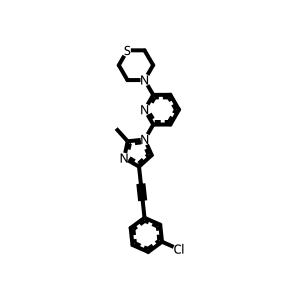 Cc1nc(C#Cc2cccc(Cl)c2)cn1-c1cccc(N2CCSCC2)n1